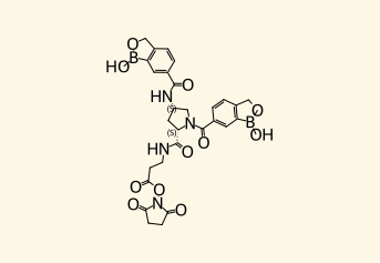 O=C(CCNC(=O)[C@@H]1C[C@H](NC(=O)c2ccc3c(c2)B(O)OC3)CN1C(=O)c1ccc2c(c1)B(O)OC2)ON1C(=O)CCC1=O